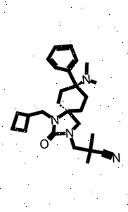 CN(C)[C@]1(c2ccccc2)CC[C@]2(CC1)CN(CC(C)(C)C#N)C(=O)N2CC1CCC1